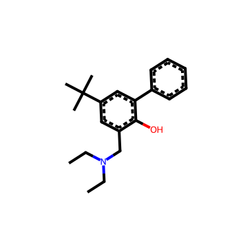 CCN(CC)Cc1cc(C(C)(C)C)cc(-c2ccccc2)c1O